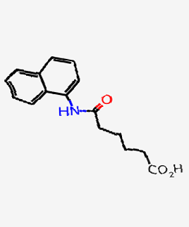 O=C(O)CCCCC(=O)Nc1cccc2ccccc12